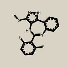 CSc1n[nH]c2c1NC(c1c(F)cccc1F)=Nc1ccccc1-2